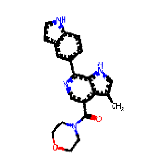 Cc1c[nH]c2c(-c3ccc4[nH]ccc4c3)ncc(C(=O)N3CCOCC3)c12